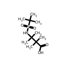 CC(C)(NS(=O)(=O)C(C)(C)C)C(C)(C)C(=O)O